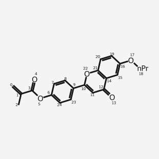 C=C(C)C(=O)Oc1ccc(-c2cc(=O)c3cc(OCCC)ccc3o2)cc1